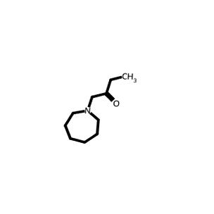 CCC(=O)CN1CCCCCC1